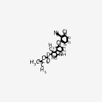 Cc1c(OC(=O)OC(C)C)ncc2[nH]c3ccc(Oc4cccc(Cl)c4C#N)cc3c12